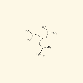 CC(C)[CH2][Ti+]([CH2]C(C)C)[CH2]C(C)C.[F-]